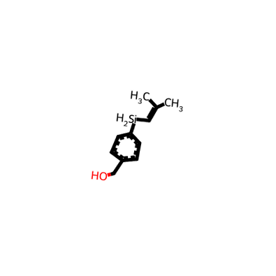 CC(C)=C[SiH2]c1ccc(CO)cc1